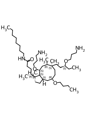 CCCCCCCCNC(=O)CC[C@@H](C)[C@H]1CC[C@H]2C[C@H](OCCCC)CC[C@](C)(CC[C@H](CC)OCCCN)[C@H](C)C[C@H](OCCCN)[C@@]21C